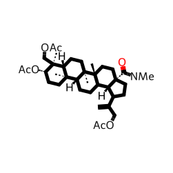 C=C(COC(C)=O)C1CC[C@]2(C(=O)NC)CC[C@]3(C)C(CC[C@@H]4[C@@]5(C)CC[C@H](OC(C)=O)[C@@](C)(COC(C)=O)[C@@H]5CC[C@]43C)[C@@H]12